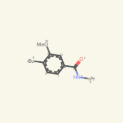 CCCNC(=O)c1ccc(C(C)CC)c(OC)c1